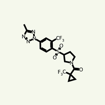 Cc1nnn(-c2ccc(S(=O)(=O)C3CCN(C(=O)C4(C(F)(F)F)CC4)C3)c(C(F)(F)F)c2)n1